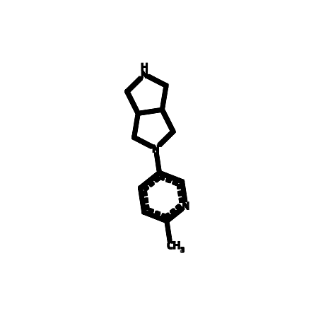 Cc1ccc(N2CC3CNCC3C2)cn1